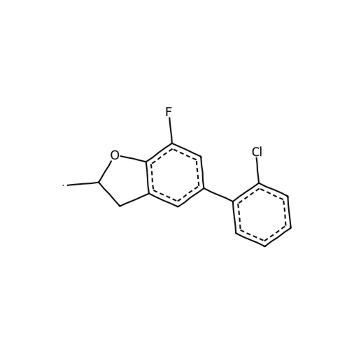 [CH2]C1Cc2cc(-c3ccccc3Cl)cc(F)c2O1